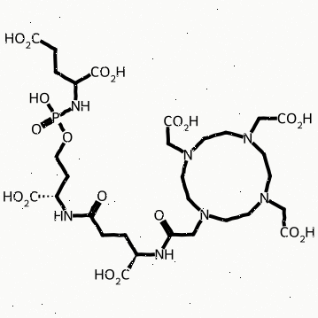 O=C(O)CCC(NP(=O)(O)OCC[C@H](NC(=O)CC[C@@H](NC(=O)CN1CCN(CC(=O)O)CCN(CC(=O)O)CCN(CC(=O)O)CC1)C(=O)O)C(=O)O)C(=O)O